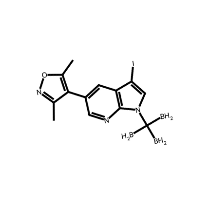 BC(B)(B)n1cc(I)c2cc(-c3c(C)noc3C)cnc21